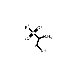 CCS(=O)(=O)C(C)C[NH]